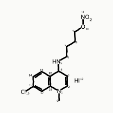 CN1C=CC(NCCCCO[N+](=O)[O-])c2ccc(Cl)cc21.I